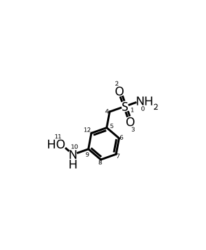 NS(=O)(=O)Cc1cccc(NO)c1